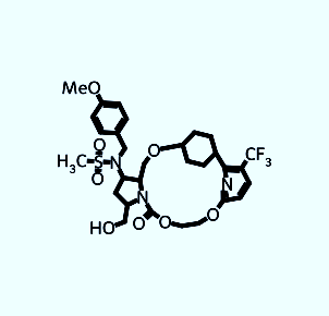 COc1ccc(CN(C2CC(CO)N3C(=O)OCCOc4ccc(C(F)(F)F)c(n4)C4CCC(CC4)OCC23)S(C)(=O)=O)cc1